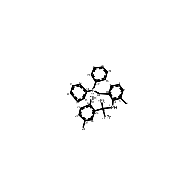 CCCC(CC)(Pc1c(C)cccc1CP(c1ccccc1)c1ccccc1)c1cc(C)ccc1O